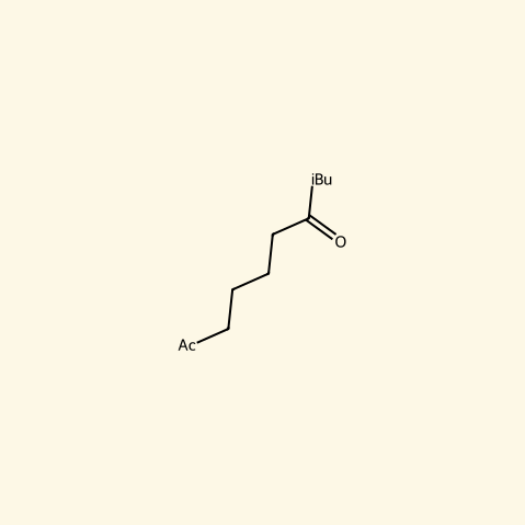 CCC(C)C(=O)CCCCC(C)=O